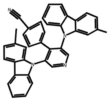 Cc1ccc2c3ccccc3n(-c3cncc(-n4c5ccccc5c5ccc(C)cc54)c3-c3ccc(C#N)cc3)c2c1